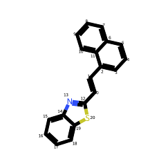 C(=Cc1cccc2ccccc12)c1nc2ccccc2s1